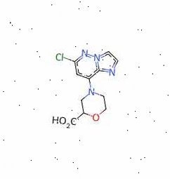 O=C(O)C1CN(c2cc(Cl)nn3ccnc23)CCO1